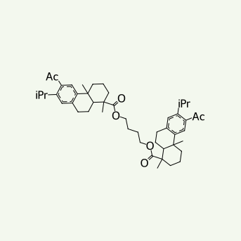 CC(=O)c1cc2c(cc1C(C)C)CCC1C(C)(C(=O)OCCCCOC(=O)C3(C)CCCC4(C)c5cc(C(C)=O)c(C(C)C)cc5CCC34)CCCC21C